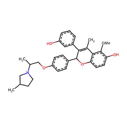 COc1c(O)ccc2c1C(C)=C(c1cccc(O)c1)C(c1ccc(OCC(C)N3CCC(C)C3)cc1)O2